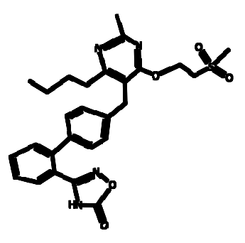 CCCCc1nc(C)nc(OCCS(C)(=O)=O)c1Cc1ccc(-c2ccccc2-c2noc(=O)[nH]2)cc1